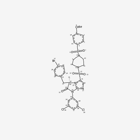 COc1ccc(S(=O)(=O)N2CCN(S(=O)(=O)c3cnc4n3[C@](C)(Cc3ccc(Br)cc3)C(=O)N4c3cc(Cl)cc(Cl)c3)CC2)cc1